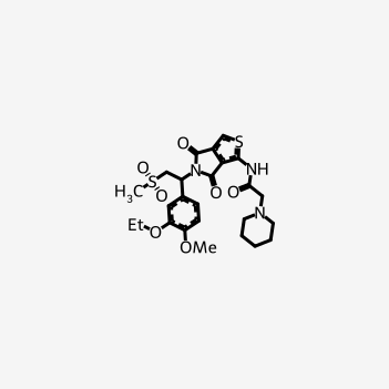 CCOc1cc(C(CS(C)(=O)=O)N2C(=O)c3csc(NC(=O)CN4CCCCC4)c3C2=O)ccc1OC